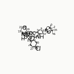 CC1(C)OB(c2ccc(C(=O)O)c(Nc3cc(S(=O)(=O)C4COCCN4)nc4ccc(Cl)cc34)c2)OC1(C)C